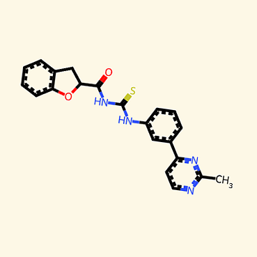 Cc1nccc(-c2cccc(NC(=S)NC(=O)C3Cc4ccccc4O3)c2)n1